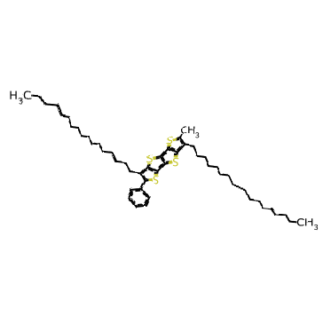 CCCCCCCCCCCCCCCCCc1c(C)sc2c1sc1c3sc(-c4ccccc4)c(CCCCCCCCCCCCCCCCC)c3sc21